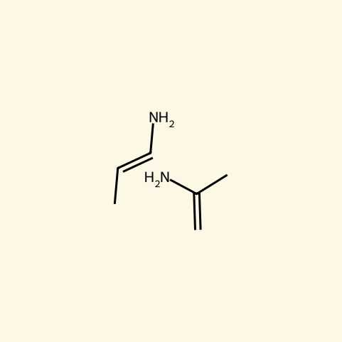 C=C(C)N.CC=CN